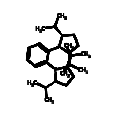 CC(C)C1CC[C@H](C(C)C)P1c1ccccc1P1C(C(C)C)CC[C@@H]1C(C)C